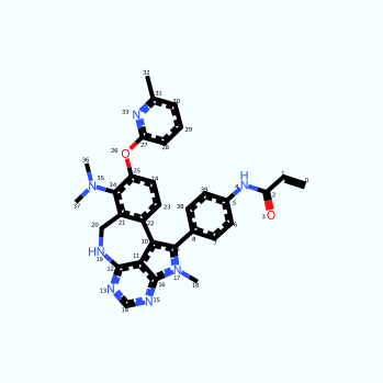 C=CC(=O)Nc1ccc(-c2c3c4c(ncnc4n2C)NCc2c-3ccc(Oc3cccc(C)n3)c2N(C)C)cc1